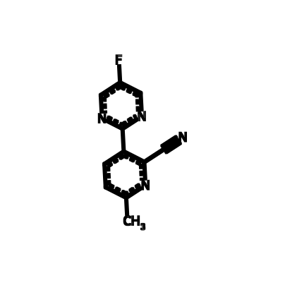 Cc1ccc(-c2ncc(F)cn2)c(C#N)n1